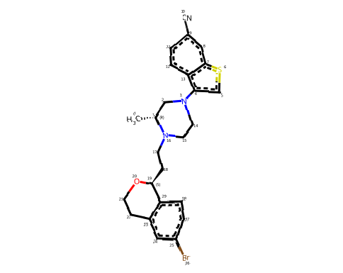 C[C@@H]1CN(c2csc3cc(C#N)ccc23)CCN1CC[C@@H]1OCCc2cc(Br)ccc21